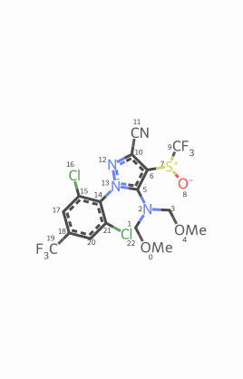 COCN(COC)c1c([S+]([O-])C(F)(F)F)c(C#N)nn1-c1c(Cl)cc(C(F)(F)F)cc1Cl